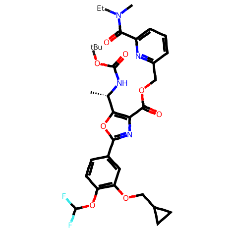 CCN(C)C(=O)c1cccc(COC(=O)c2nc(-c3ccc(OC(F)F)c(OCC4CC4)c3)oc2[C@H](C)NC(=O)OC(C)(C)C)n1